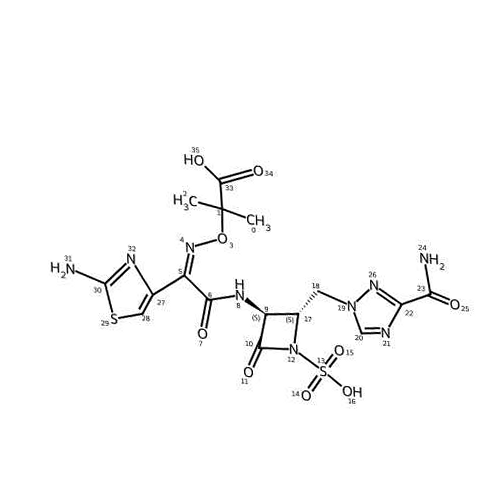 CC(C)(ON=C(C(=O)N[C@@H]1C(=O)N(S(=O)(=O)O)[C@H]1Cn1cnc(C(N)=O)n1)c1csc(N)n1)C(=O)O